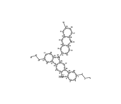 CCCc1ccc2[nH]c3cc4c5cc(CCC)ccc5n(-c5ccc6nc7ccc(C)cc7cc6c5)c4cc3c2c1